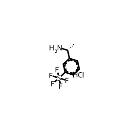 C[C@@H](N)c1cccc(S(F)(F)(F)(F)F)c1.Cl